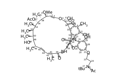 CO[C@H]1/C=C/O[C@@]2(C)Oc3c(C)c(O)c4c(=O)c(c5oc6cc(OCCN(C(C)=O)C(C)(C)C)cc(O)c6nc-5c4c3C2=O)NC(=O)/C(C)=C\C=C\[C@H](C)[C@H](O)[C@@H](C)[C@@H](C)[C@@H](C)[C@H](OC(C)=O)[C@@H]1C